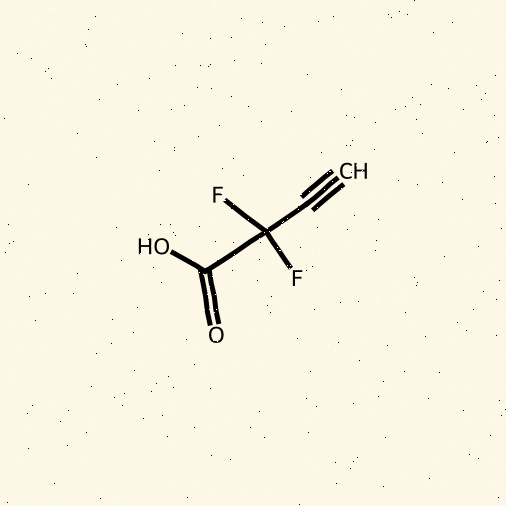 C#CC(F)(F)C(=O)O